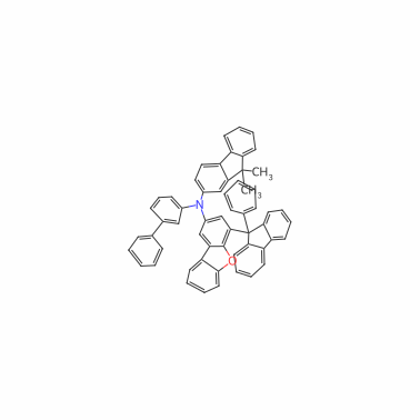 CC1(C)c2ccccc2-c2ccc(N(c3cccc(-c4ccccc4)c3)c3cc(C4(c5ccccc5)c5ccccc5-c5ccccc54)c4oc5ccccc5c4c3)cc21